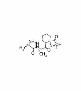 C[C@H](N)C(=O)N[C@@H](C)C(=O)C1CCCCC1(N)C(=O)O